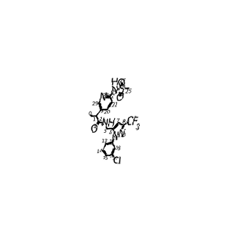 CC(C(=O)NCc1cc(C(F)(F)F)nn1-c1cccc(Cl)c1)c1ccc(NS(C)(=O)=O)nc1